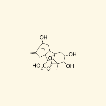 C=C1CC23CC1C(O)CC2C12CC(O)C(O)C(C)(C(=O)O1)C2C3C(=O)O